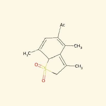 CC(=O)C1=C(C)C2=C(C)CS(=O)(=O)C2C(C)=C1